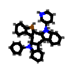 c1ccc(-n2c3ccccc3c3c4c5ccccc5n(-c5cccnc5)c4c4sc5ccccc5c4c32)cc1